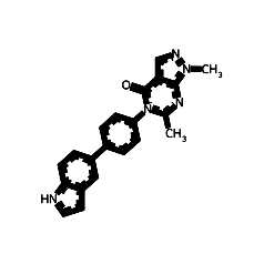 Cc1nc2c(cnn2C)c(=O)n1-c1ccc(-c2ccc3[nH]ccc3c2)cc1